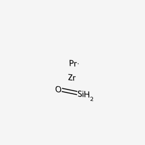 O=[SiH2].[Pr].[Zr]